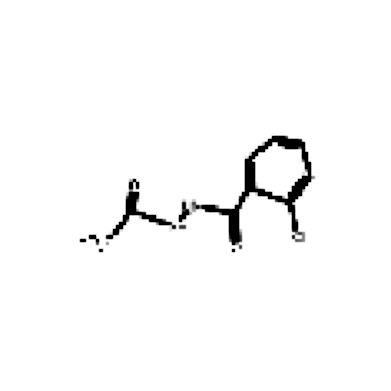 O=C(O)C(=O)NNC(=O)c1ccccc1Cl